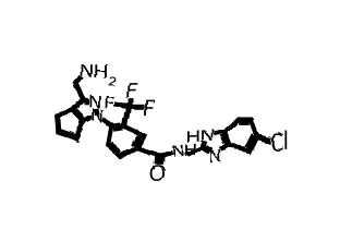 NCc1nn(-c2ccc(C(=O)NCc3nc4cc(Cl)ccc4[nH]3)cc2C(F)(F)F)c2c1CCC2